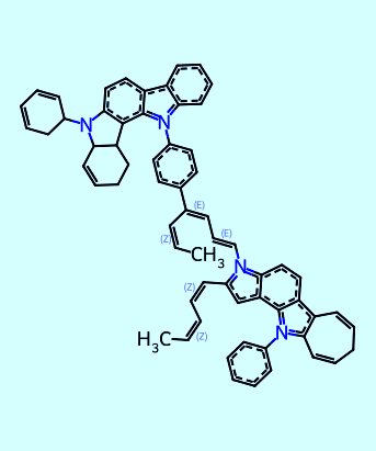 C/C=C\C=C/c1cc2c(ccc3c4c(n(-c5ccccc5)c32)C=CCC=C4)n1/C=C/C=C(\C=C/C)c1ccc(-n2c3ccccc3c3ccc4c(c32)C2CCC=CC2N4C2C=CC=CC2)cc1